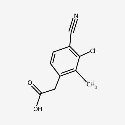 Cc1c(CC(=O)O)ccc(C#N)c1Cl